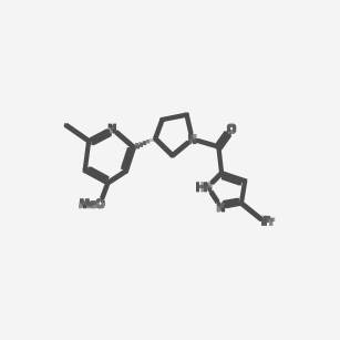 COc1cc(C)nc([C@@H]2CCN(C(=O)c3cc(C(C)C)n[nH]3)C2)c1